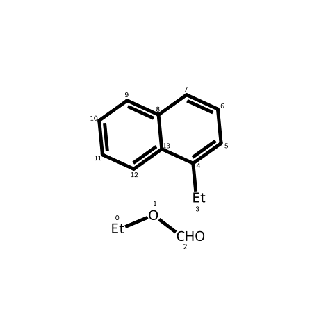 CCOC=O.CCc1cccc2ccccc12